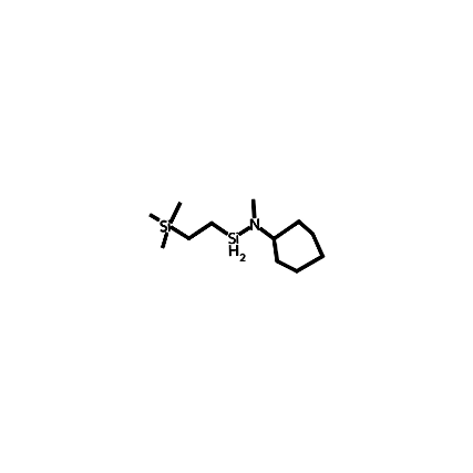 CN([SiH2]CC[Si](C)(C)C)C1CCCCC1